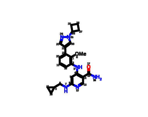 COc1c(Nc2cc(NCC3CC3)ncc2C(N)=O)cccc1-c1cnn(C2CCC2)c1